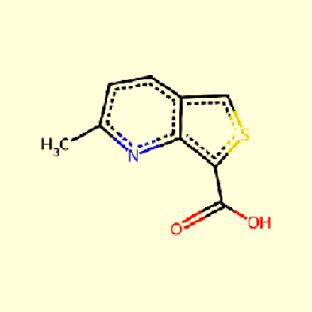 Cc1ccc2csc(C(=O)O)c2n1